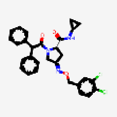 O=C(NC1CC1)[C@@H]1C/C(=N\OCc2ccc(Cl)c(Cl)c2)CN1C(=O)C(c1ccccc1)c1ccccc1